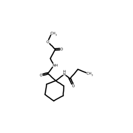 CCC(=O)NC1(C(=O)NCC(=O)OC)CCCCC1